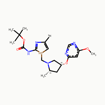 [2H]C1=C[SH](CN2C[C@H](Oc3cc(OC)ncn3)C[C@@H]2C)C(NC(=O)OC(C)(C)C)=N1